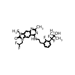 Cc1nc(NCCc2cccc(C(F)(F)C(C)(C)O)c2F)c2cc3c(cc2n1)n(C)c(=O)n3CC(F)F